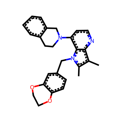 Cc1c(C)n(Cc2ccc3c(c2)OCCO3)c2c(N3CCc4ccccc4C3)ccnc12